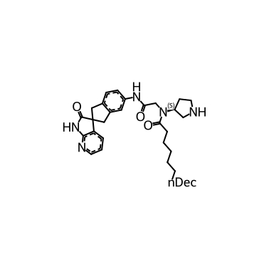 CCCCCCCCCCCCCCCC(=O)N(CC(=O)Nc1ccc2c(c1)CC1(C2)C(=O)Nc2ncccc21)[C@H]1CCNC1